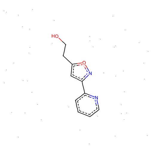 OCCc1cc(-c2ccccn2)no1